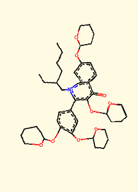 CCCCC(CC)Cn1c(-c2ccc(OC3CCCCO3)c(OC3CCCCO3)c2)c(OC2CCCCO2)c(=O)c2ccc(OC3CCCCO3)cc21